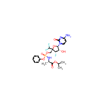 CC(C)OC(=O)[C@H](C)NP(=O)(OC[C@@]1(C(F)F)O[C@@H](n2ccc(N)nc2=O)[C@H](O)[C@@H]1F)Oc1ccccc1